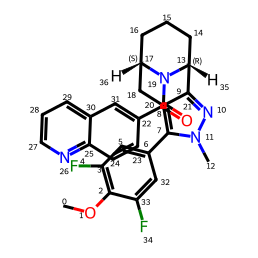 COc1c(F)cc(-c2c3c(nn2C)[C@H]2CCC[C@@H](C3)N2C(=O)c2ccc3ncccc3c2)cc1F